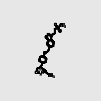 CC#C[C@@H](CC(=O)O)c1ccc(OCc2ccc3c(cnn3CCS(C)(=O)=O)c2)cc1